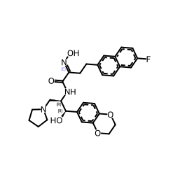 O=C(N[C@H](CN1CCCC1)[C@H](O)c1ccc2c(c1)OCCO2)/C(CCc1ccc2cc(F)ccc2c1)=N/O